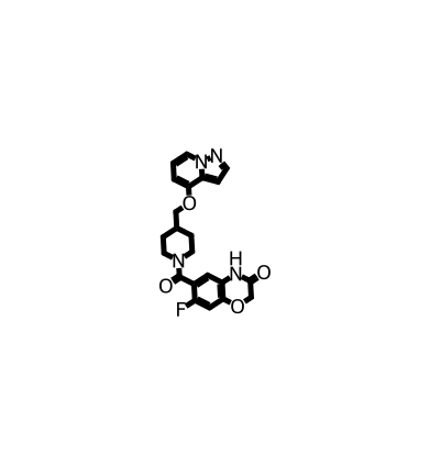 O=C1COc2cc(F)c(C(=O)N3CCC(COc4cccn5nccc45)CC3)cc2N1